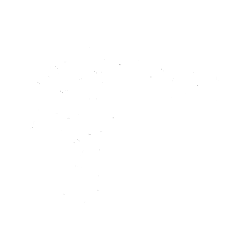 CC(C)(C)OC(=O)Nc1ccc(C(=O)N2CCCC(Nc3ncc(Cl)c(-c4cn(S(=O)(=O)c5ccccc5)c5ccccc45)n3)C2)cc1